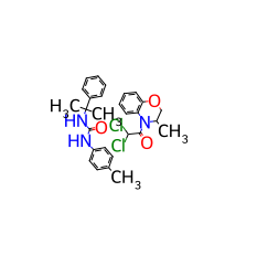 CC1COc2ccccc2N1C(=O)C(Cl)Cl.Cc1ccc(NC(=O)NC(C)(C)c2ccccc2)cc1